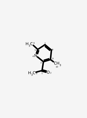 CC(=O)c1nc(C)ccc1C